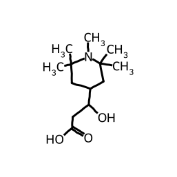 CN1C(C)(C)CC(C(O)CC(=O)O)CC1(C)C